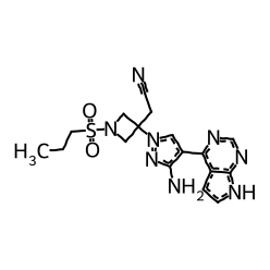 CCCS(=O)(=O)N1CC(CC#N)(n2cc(-c3ncnc4[nH]ccc34)c(N)n2)C1